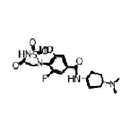 CN(C)[C@H]1CC[C@H](NC(=O)c2cc(O)c(N3CC(=O)NS3(=O)=O)c(F)c2)CC1